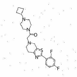 O=C(CN1CCc2nc(-c3ccc(F)cc3F)sc2C1)N1CCN(C2CCC2)CC1